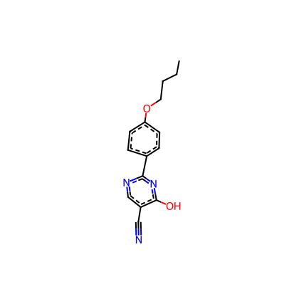 CCCCOc1ccc(-c2ncc(C#N)c(O)n2)cc1